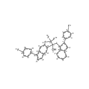 OC(Cn1c(-c2ccc(F)cc2)cc2ccccc21)(c1ccc2c(cnn2-c2ccc(F)cc2)c1)C(F)(F)F